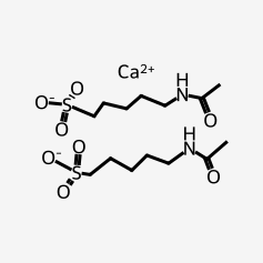 CC(=O)NCCCCCS(=O)(=O)[O-].CC(=O)NCCCCCS(=O)(=O)[O-].[Ca+2]